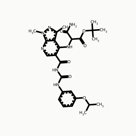 Cc1nn(C)c2ncc(C(=O)NC(=O)Nc3cccc(OC(C)C)c3)c(NC(C(N)=O)C(=O)OC(C)(C)C)c12